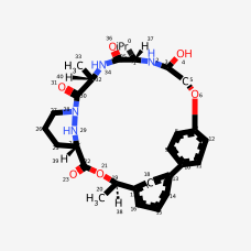 CC(C)[C@@H]1NC(O)COc2ccc(cc2)-c2cccc(c2)[C@@H](C)OC(=O)[C@@H]2CCCN(N2)C(=O)[C@H](C)NC1=O